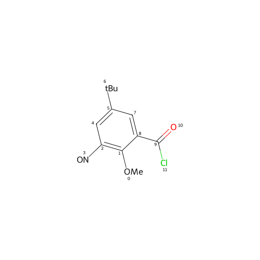 COc1c(N=O)cc(C(C)(C)C)cc1C(=O)Cl